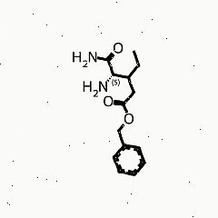 CCC(CC(=O)OCc1ccccc1)[C@H](N)C(N)=O